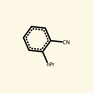 CCCc1ccccc1C#N